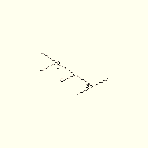 CCCCCCCCC(CCCCCCCC)OC(=O)CCCCCCCN(CCCCC=O)CCCCCCCC(=O)OC(CCCCCCCC)CCCCCCCC